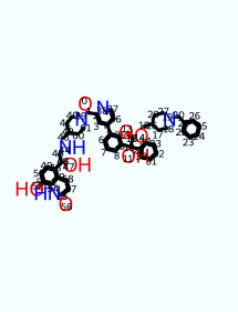 O=C(c1cc(-c2cccc(C(O)(C(=O)OCC3CCN(Cc4ccccc4)CC3)c3ccccc3)c2)ccn1)N1CCC(CNC[C@H](O)c2ccc(O)c3[nH]c(=O)ccc23)CC1